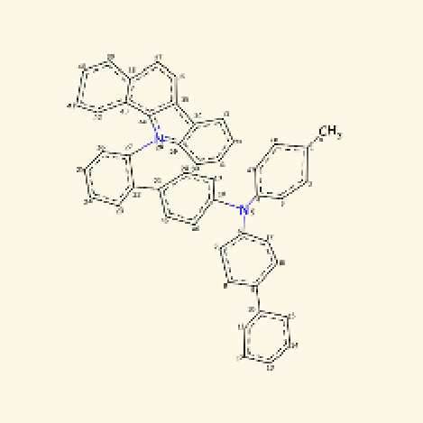 Cc1ccc(N(c2ccc(-c3ccccc3)cc2)c2ccc(-c3ccccc3-n3c4ccccc4c4ccc5ccccc5c43)cc2)cc1